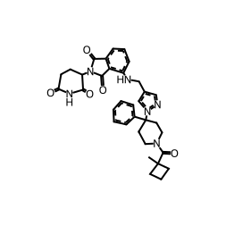 CC1(C(=O)N2CCC(c3ccccc3)(n3cc(CNc4cccc5c4C(=O)N(C4CCC(=O)NC4=O)C5=O)cn3)CC2)CCC1